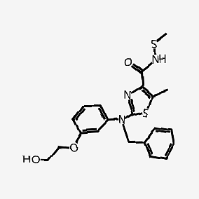 CSNC(=O)c1nc(N(Cc2ccccc2)c2cccc(OCCO)c2)sc1C